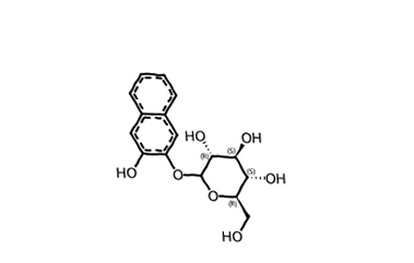 OC[C@H]1OC(Oc2cc3ccccc3cc2O)[C@H](O)[C@@H](O)[C@@H]1O